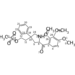 COc1ccc(C(=O)C2CC(CCOS(C)(=O)=O)(c3ccccc3)CN2)c(OC)c1OC